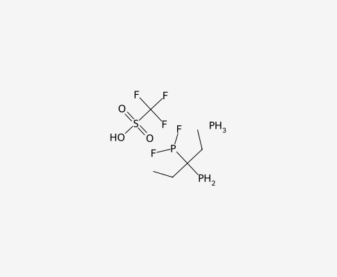 CCC(P)(CC)P(F)F.O=S(=O)(O)C(F)(F)F.P